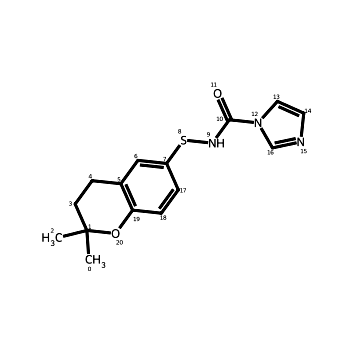 CC1(C)CCc2cc(SNC(=O)n3ccnc3)ccc2O1